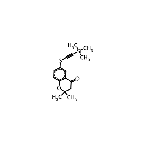 CC1(C)CC(=O)c2cc(SC#C[Si](C)(C)C)ccc2O1